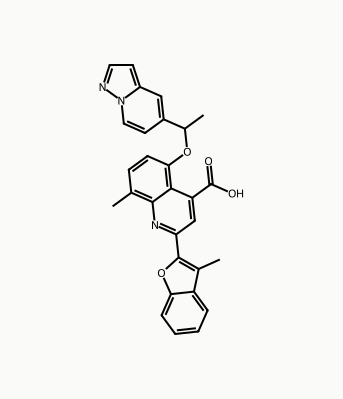 Cc1c(-c2cc(C(=O)O)c3c(OC(C)c4ccn5nccc5c4)ccc(C)c3n2)oc2ccccc12